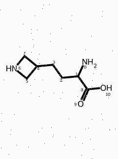 NC(CCC1CNC1)C(=O)O